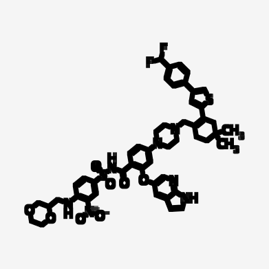 CC1(C)CCC(CN2CCN(c3ccc(C(=O)NS(=O)(=O)c4ccc(NCC5COCCO5)c([N+](=O)[O-])c4)c(Oc4cnc5[nH]ccc5c4)c3)CC2)=C(c2cc(-c3ccc(C(F)F)cc3)cs2)C1